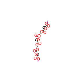 O=C(OI)c1ccc(C(=O)OCCOC(=O)c2ccc(C(=O)OCCOC(=O)c3ccc(C(=O)OI)o3)o2)o1